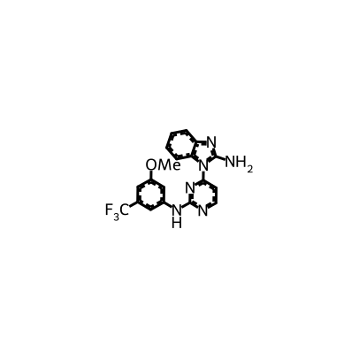 COc1cc(Nc2nccc(-n3c(N)nc4ccccc43)n2)cc(C(F)(F)F)c1